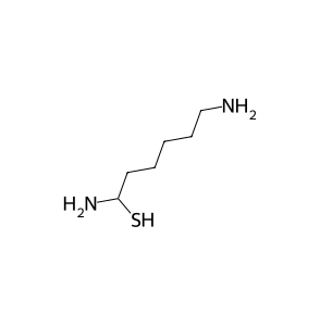 NCCCCCC(N)S